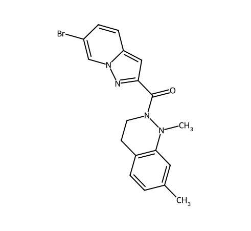 Cc1ccc2c(c1)N(C)N(C(=O)c1cc3ccc(Br)cn3n1)CC2